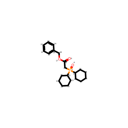 O=C(CP(=O)(C1CCCCC1)C1CCCCC1)OCc1ccccc1